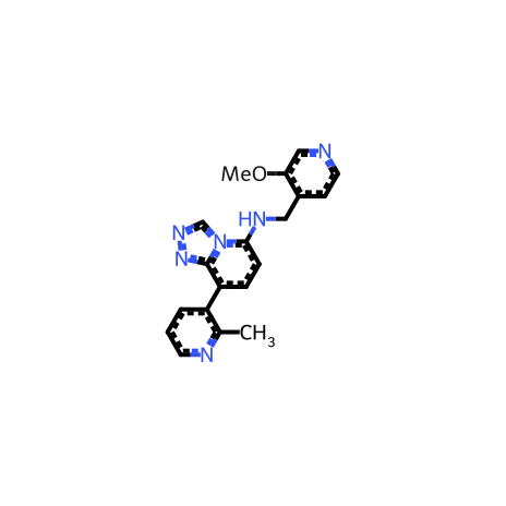 COc1cnccc1CNc1ccc(-c2cccnc2C)c2nncn12